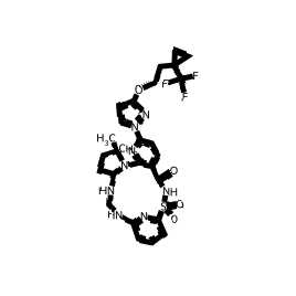 CC1(C)CCC2NCNc3cccc(n3)S(=O)(=O)NC(=O)c3ccc(-n4ccc(OCCC5(C(F)(F)F)CC5)n4)nc3N21